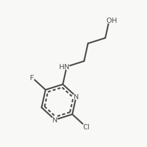 OCCCNc1nc(Cl)ncc1F